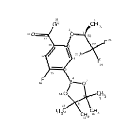 C[C@H](Oc1cc(B2OC(C)(C)C(C)(C)O2)c(F)cc1C(=O)O)C(F)(F)F